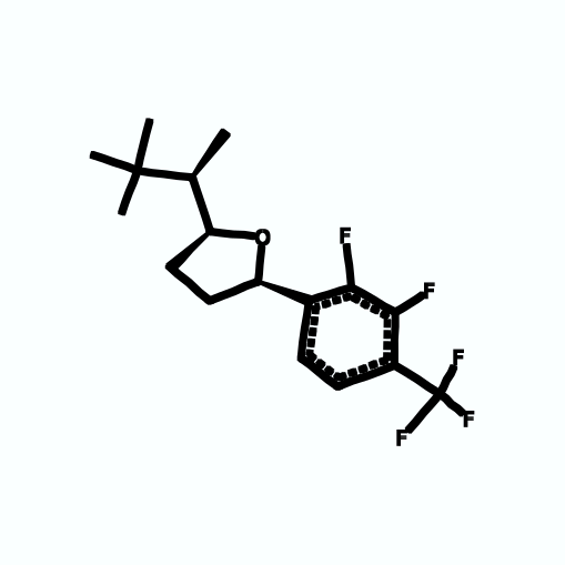 C[C@@H]([C@@H]1CC[C@H](c2ccc(C(F)(F)F)c(F)c2F)O1)C(C)(C)C